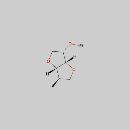 CCO[C@H]1CO[C@@H]2[C@H]1OC[C@H]2C